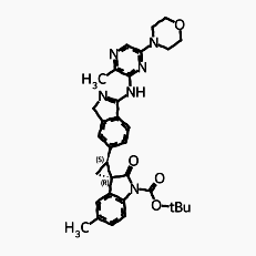 Cc1ccc2c(c1)[C@]1(C[C@H]1c1ccc3c(c1)CN=C3Nc1nc(N3CCOCC3)cnc1C)C(=O)N2C(=O)OC(C)(C)C